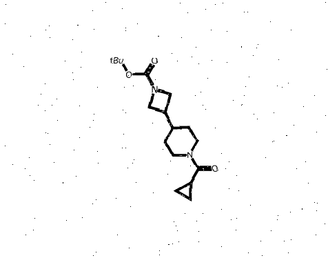 CC(C)(C)OC(=O)N1CC(C2CCN(C(=O)C3CC3)CC2)C1